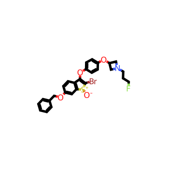 [O-][s+]1c(Br)c(Oc2ccc(OC3CN(CCCF)C3)cc2)c2ccc(OCc3ccccc3)cc21